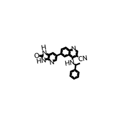 CC(Nc1c(C#N)cnc2ccc(-c3cnc4[nH]c(=O)[nH]c4c3)cc12)c1ccccc1